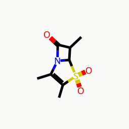 CC1=C(C)S(=O)(=O)C2C(C)C(=O)N12